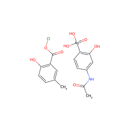 CC(=O)Nc1ccc([As](=O)(O)O)c(O)c1.Cc1ccc(O)c(C(=O)OCl)c1